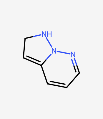 C1=CC2=CCNN2N=C1